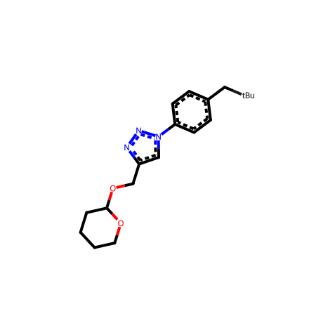 CC(C)(C)Cc1ccc(-n2cc(COC3CCCCO3)nn2)cc1